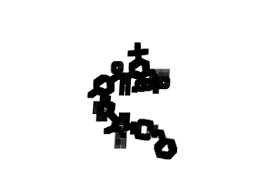 COc1c(NC(=O)c2ccc(C)c(-n3cc(-c4nc(N5CCN(Cc6ccccc6)CC5)[nH]c4C)nn3)c2)cc(C(C)(C)C)cc1NS(C)(=O)=O